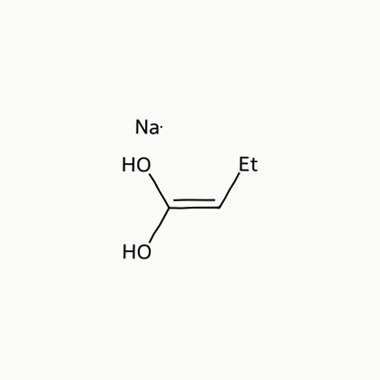 CCC=C(O)O.[Na]